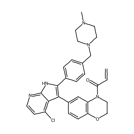 C=CC(=O)N1CCOc2ccc(-c3c(-c4ccc(CN5CCN(C)CC5)cc4)[nH]c4nccc(Cl)c34)cc21